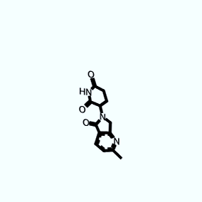 Cc1ccc2c(n1)CN(C1CCC(=O)NC1=O)C2=O